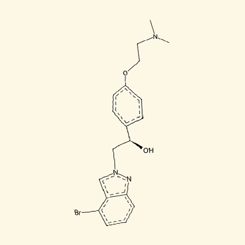 CN(C)CCOc1ccc([C@@H](O)Cn2cc3c(Br)cccc3n2)cc1